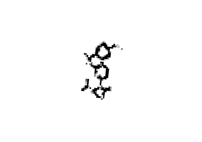 CC(C)[C@H]1COC(=O)N1c1ccnc(N[C@@H](C)c2ccc(N)cc2)n1